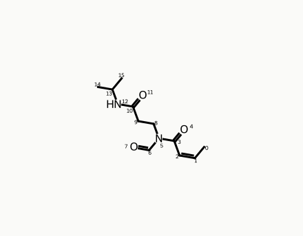 C/C=C\C(=O)N(C=O)CCC(=O)NC(C)C